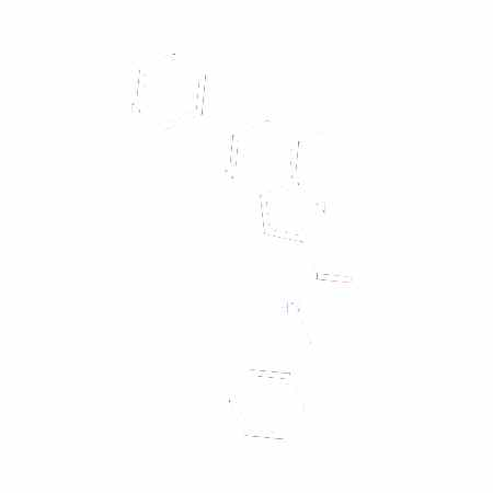 O=C(NCc1ccccc1)c1cc2nc(-c3cccnc3)cc(C(F)(F)F)n2n1